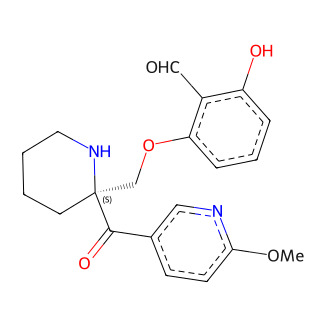 COc1ccc(C(=O)[C@@]2(COc3cccc(O)c3C=O)CCCCN2)cn1